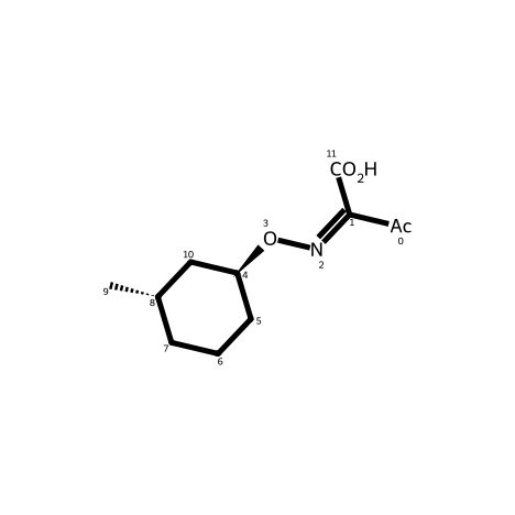 CC(=O)/C(=N/O[C@H]1CCC[C@H](C)C1)C(=O)O